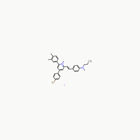 Cc1ccc(-c2cc(-c3ccc(Br)cc3)cc(/C=C/c3ccc(N(C)CCC#N)cc3)[n+]2C)cc1C.[I-]